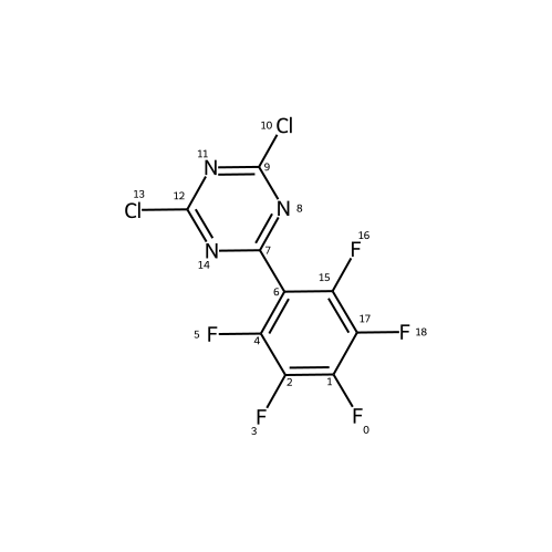 Fc1c(F)c(F)c(-c2nc(Cl)nc(Cl)n2)c(F)c1F